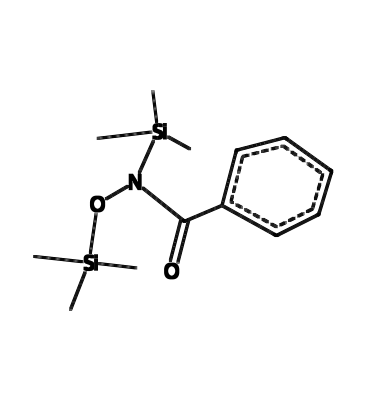 C[Si](C)(C)ON(C(=O)c1ccccc1)[Si](C)(C)C